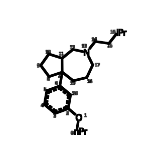 CCCOc1cccc(C23CCCC2CN(CCC(C)C)CCC3)c1